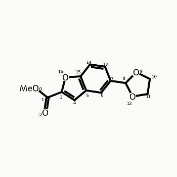 COC(=O)c1cc2cc(C3OCCO3)ccc2o1